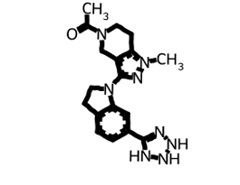 CC(=O)N1CCc2c(c(N3CCc4ccc(C5=NNNN5)cc43)nn2C)C1